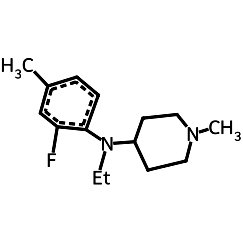 CCN(c1ccc(C)cc1F)C1CCN(C)CC1